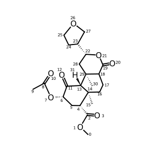 COC(=O)[C@@H]1C[C@H](OC(C)=O)C(=O)[C@H]2[C@@]1(C)CCC1C(=O)O[C@@H](C3CCOC3)C[C@@]12C